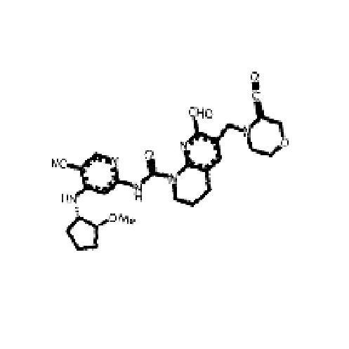 CO[C@H]1CCC[C@@H]1Nc1cc(NC(=O)N2CCCc3cc(CN4CCOCC4=C=O)c(C=O)nc32)ncc1C#N